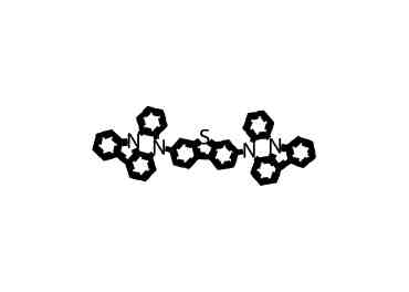 c1ccc2c(c1)N(c1ccc3c(c1)sc1cc(N4c5ccccc5-n5c6ccccc6c6cccc4c65)ccc13)c1cccc3c4ccccc4n-2c13